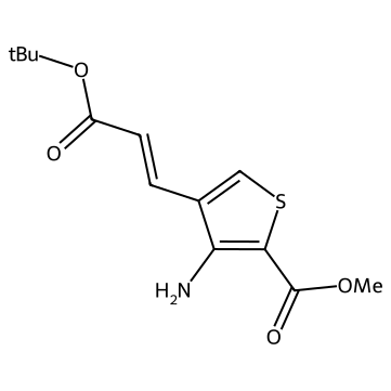 COC(=O)c1scc(/C=C/C(=O)OC(C)(C)C)c1N